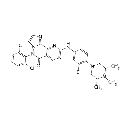 C[C@@H]1CN(c2ccc(Nc3ncc4c(=O)n(-c5c(Cl)cccc5Cl)n5ccnc5c4n3)cc2Cl)C[C@H](C)N1C